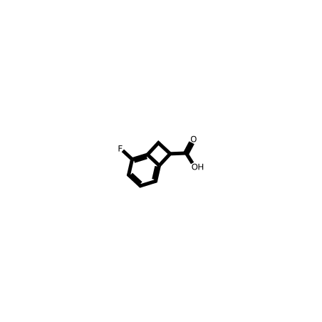 O=C(O)C1Cc2c(F)cccc21